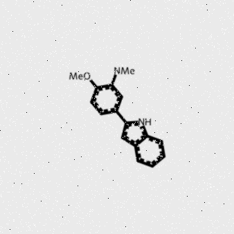 CNc1cc(-c2cc3ccccc3[nH]2)ccc1OC